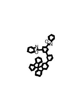 C1=CC(c2ccc3c(c2)C2(c4ccccc4-c4ccccc42)c2ccccc2-3)CC(c2cc(-c3nc4ccccc4o3)cc(-c3nc4ccccc4o3)c2)=C1